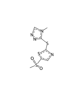 Cn1cnnc1Sc1ncc(S(C)(=O)=O)s1